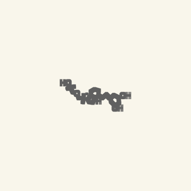 CC(C)(O)COCC(C)(C)[C@H]1CC[C@H]2/C(=C/C=C3C[C@@H](O)C[C@H](O)C3)CCC[C@]12C